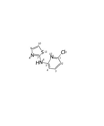 Clc1cccc(Nc2nccs2)n1